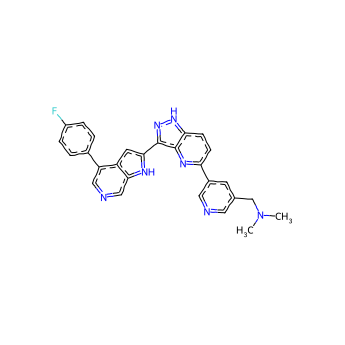 CN(C)Cc1cncc(-c2ccc3[nH]nc(-c4cc5c(-c6ccc(F)cc6)cncc5[nH]4)c3n2)c1